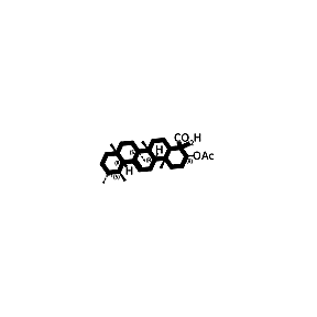 CC(=O)O[C@@H]1CC[C@@]2(C)C(CC[C@]3(C)[C@@H]2CC=C2[C@@H]4[C@@H](C)[C@H](C)CC[C@]4(C)CC[C@]23C)C1(C)C(=O)O